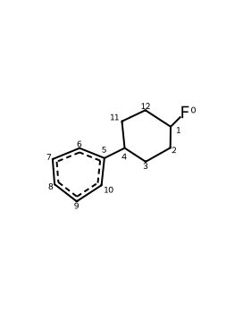 FC1CCC(c2ccccc2)CC1